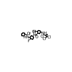 O=C(Nc1c(F)ccc(NC(=O)c2cc(NC(=O)C3CC3(Cl)Cl)ccc2Cl)c1F)c1ccccc1